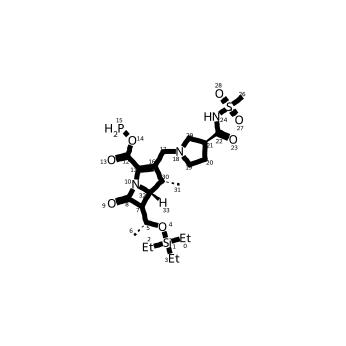 CC[Si](CC)(CC)O[C@H](C)C1C(=O)N2C(C(=O)OP)=C(CN3CC[C@H](C(=O)NS(C)(=O)=O)C3)[C@H](C)[C@H]12